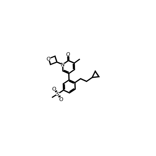 Cc1cc(-c2cc(S(C)(=O)=O)ccc2CCC2CC2)cn(C2COC2)c1=O